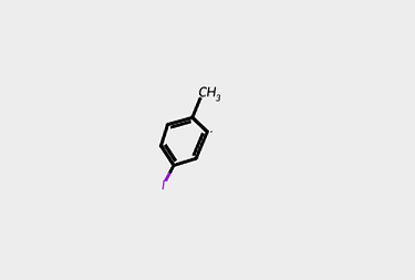 Cc1[c]cc(I)cc1